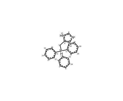 c1ccc([PH](Cc2cnc[nH]2)(c2ccccc2)c2ccccc2)cc1